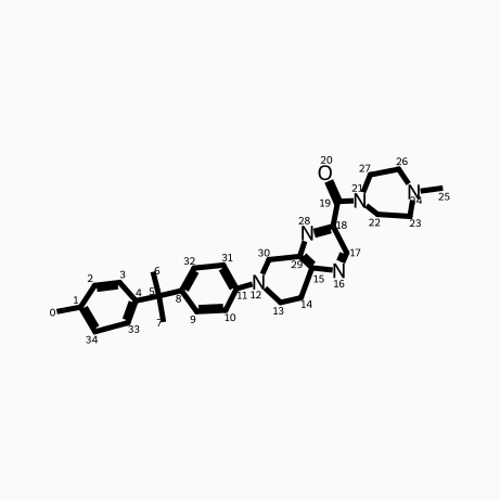 Cc1ccc(C(C)(C)c2ccc(N3CCc4ncc(C(=O)N5CCN(C)CC5)nc4C3)cc2)cc1